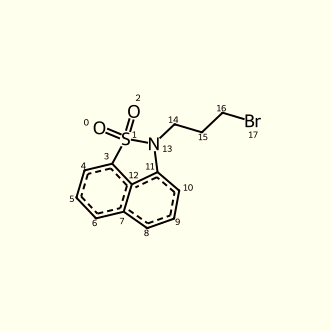 O=S1(=O)c2cccc3cccc(c23)N1CCCBr